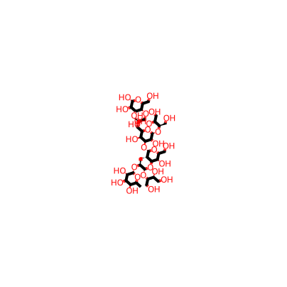 CC1O[C@@H](O[C@@H](C)[C@@H](OC(CO)[C@H](O)CO)OC2[C@@H](O)C(CO)O[C@@H](O[C@@H]3C(O)[C@@H](O[C@H](CO)C(CO)O[C@@H](O[C@@H]4C(CO)O[C@@H](O)C(O)C4O)[C@H](C)O)OC(CO)[C@@H]3O)[C@H]2C)[C@@H](O)C(O)[C@@H]1O